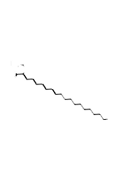 CCCCCCCCCCCC=CC=CC=CC=C(OC)C(=O)O